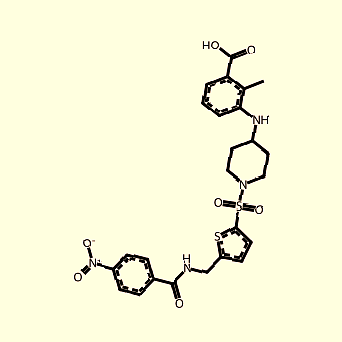 Cc1c(NC2CCN(S(=O)(=O)c3ccc(CNC(=O)c4ccc([N+](=O)[O-])cc4)s3)CC2)cccc1C(=O)O